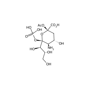 CC(=O)O[C@@]1(C(=O)O)C[C@H](O)[C@@H](N)[C@](OP(=O)(O)O)([C@H](O)[C@H](O)CO)O1